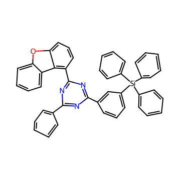 c1ccc(-c2nc(-c3cccc([Si](c4ccccc4)(c4ccccc4)c4ccccc4)c3)nc(-c3cccc4oc5ccccc5c34)n2)cc1